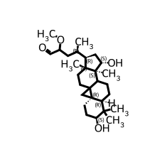 COC(C=O)C[C@@H](C)[C@H]1C[C@H](O)[C@@]2(C)C3CC[C@H]4C(C)(C)[C@@H](O)CC[C@@]45CC35CC[C@]12C